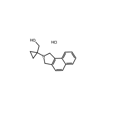 Cl.OCC1(N2Cc3ccc4ccccc4c3C2)CC1